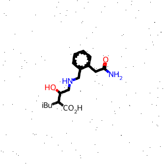 CCC(C)C(C(=O)O)C(O)CNCc1ccccc1CC(N)=O